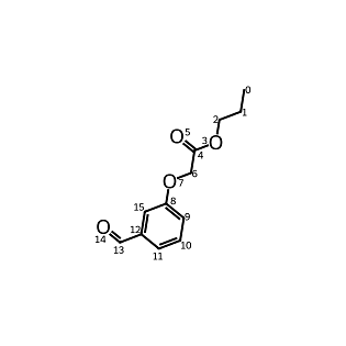 CCCOC(=O)COc1cccc(C=O)c1